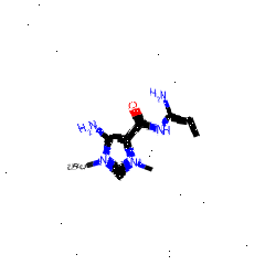 C/C=C(/N)NC(=O)c1c(N)n(C(C)(C)C)c[n+]1C